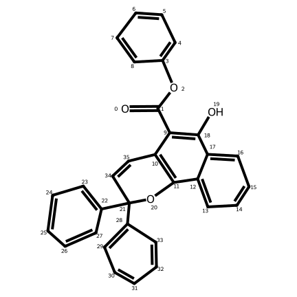 O=C(Oc1ccccc1)c1c2c(c3ccccc3c1O)OC(c1ccccc1)(c1ccccc1)C=C2